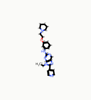 CCn1c(-c2ccncc2)nc2cnc(Nc3cccc(OCCN4CCCCC4)c3)nc21